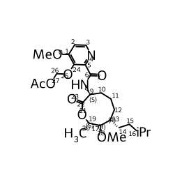 COc1ccnc(C(=O)N[C@H]2CCC[C@H](CCC(C)C)[C@@H](OC)[C@H](C)OC2=O)c1OCOC(C)=O